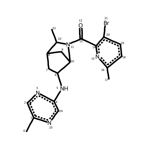 Cc1cnc(NC2CC3CC2N(C(=O)c2nc(C)ccc2Br)C3C)cn1